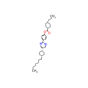 CCCCCCC[C@H]1CC[C@H](c2cnc(-c3ccc(OC(=O)C4CCC(CCC)CC4)cc3)nc2)CC1